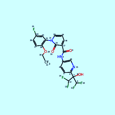 O=C(Nc1ccc(C(O)(C(F)F)C(F)F)nc1)c1cccn(-c2cc(F)ccc2OCC(F)(F)F)c1=O